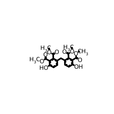 COC(=O)c1c(O)ccc(Cc2ccc(O)c(C(=O)OC)c2C(=O)OC)c1C(=O)OC